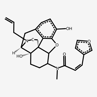 C=CCN1CC[C@]23c4c5ccc(O)c4OC2C(N(C)C(=O)/C=C\c2ccoc2)CC[C@@]3(O)[C@H]1C5